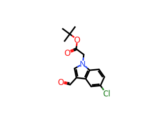 CC(C)(C)OC(=O)Cn1cc(C=O)c2cc(Cl)ccc21